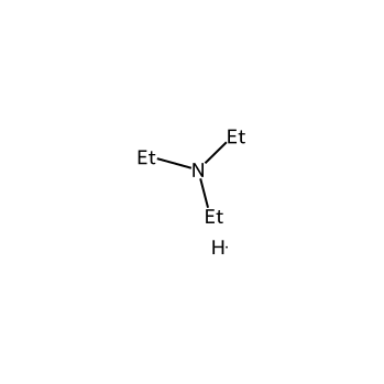 CCN(CC)CC.[H]